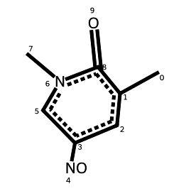 Cc1cc(N=O)cn(C)c1=O